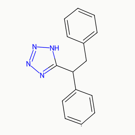 [c]1ccc(C(Cc2ccccc2)c2nnn[nH]2)cc1